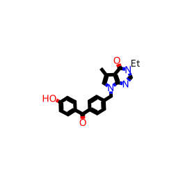 CCn1cnc2c(c(C)cn2Cc2ccc(C(=O)c3ccc(O)cc3)cc2)c1=O